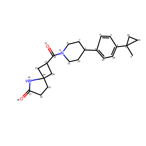 CC1(c2ccc(C3CCN(C(=O)C4CC5(CCC(=O)N5)C4)CC3)cc2)CC1